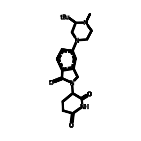 CN1CCN(c2ccc3c(c2)CN(C2CCC(=O)NC2=O)C3=O)CC1C(C)(C)C